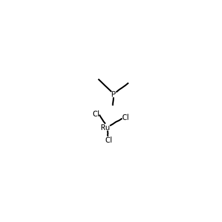 CP(C)C.[Cl][Ru]([Cl])[Cl]